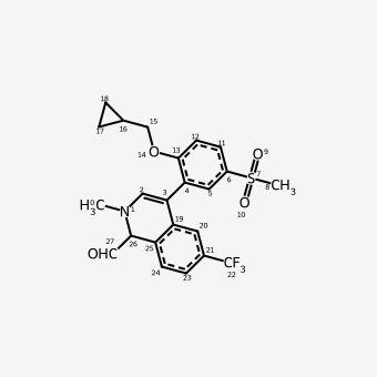 CN1C=C(c2cc(S(C)(=O)=O)ccc2OCC2CC2)c2cc(C(F)(F)F)ccc2C1C=O